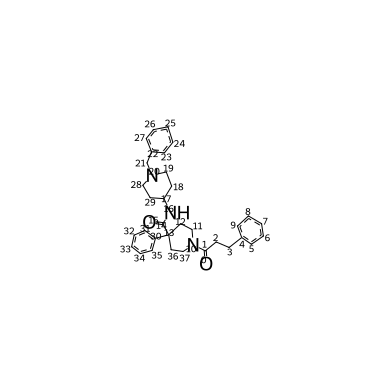 O=C(CCc1ccccc1)N1CCC(C(=O)NC2CCN(Cc3ccccc3)CC2)(c2ccccc2)CC1